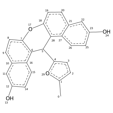 Cc1ccc(C2c3c(ccc4cc(O)ccc34)Oc3ccc4cc(O)ccc4c32)o1